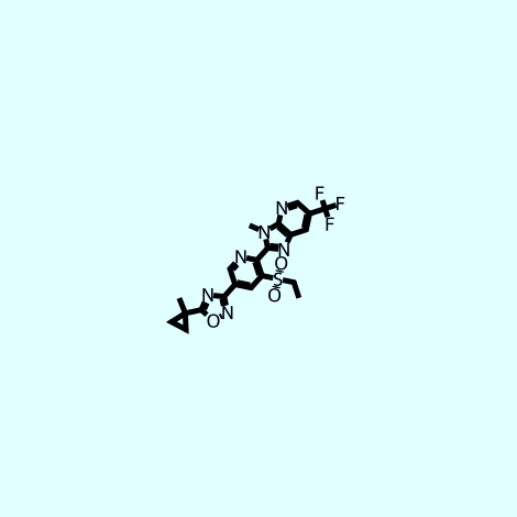 CCS(=O)(=O)c1cc(-c2noc(C3(C)CC3)n2)cnc1-c1nc2cc(C(F)(F)F)cnc2n1C